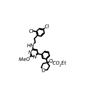 CCOC(=O)OC1(c2cccc(-c3cc(NCCc4ccc(Cl)cc4Cl)nc(OC)n3)c2)CCOCC1